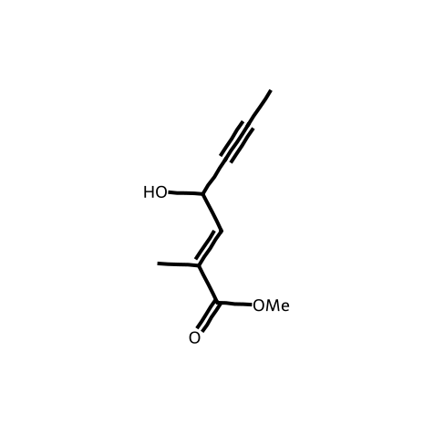 CC#CC(O)C=C(C)C(=O)OC